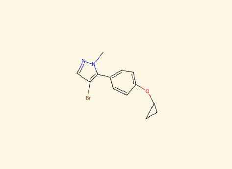 Cn1ncc(Br)c1-c1ccc(OC2CC2)cc1